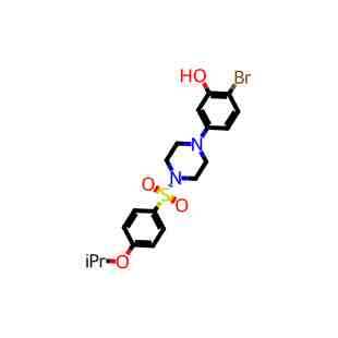 CC(C)Oc1ccc(S(=O)(=O)N2CCN(c3ccc(Br)c(O)c3)CC2)cc1